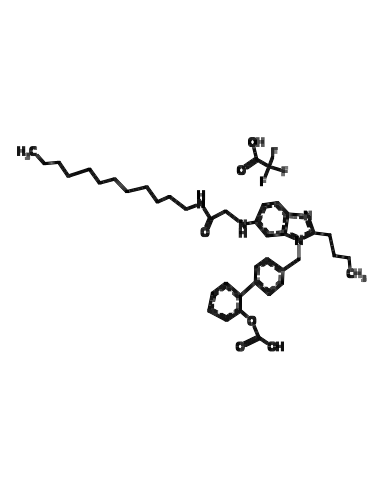 CCCCCCCCCCCCNC(=O)CNc1ccc2nc(CCCC)n(Cc3ccc(-c4ccccc4OC(=O)O)cc3)c2c1.O=C(O)C(F)(F)F